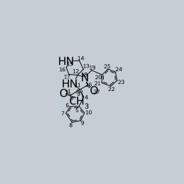 CC(=O)[C@]1(Cc2ccccc2)NC2(CCNCC2)N(Cc2ccccc2)C1=O